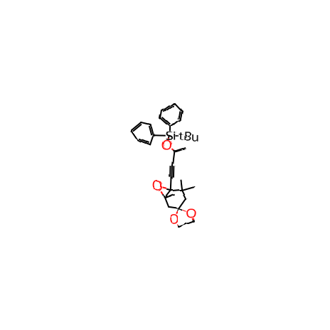 CC(C#CC12OC1(C)CC1(CC2(C)C)OCCO1)O[Si](c1ccccc1)(c1ccccc1)C(C)(C)C